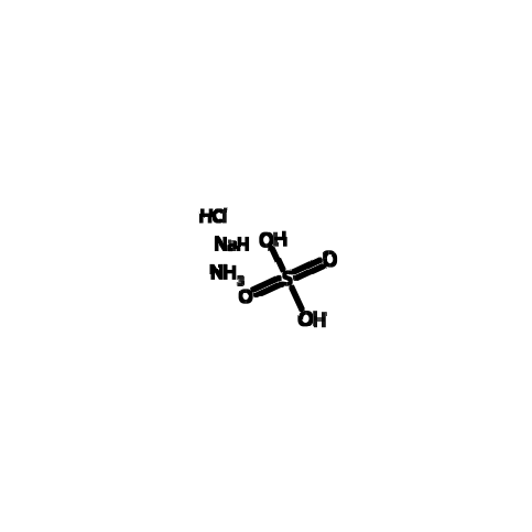 Cl.N.O=S(=O)(O)O.[NaH]